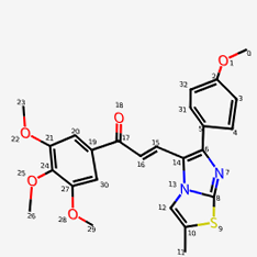 COc1ccc(-c2nc3sc(C)cn3c2C=CC(=O)c2cc(OC)c(OC)c(OC)c2)cc1